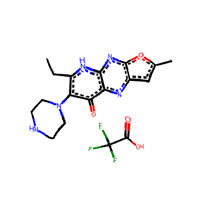 CCc1[nH]c2nc3oc(C)cc3nc2c(=O)c1N1CCNCC1.O=C(O)C(F)(F)F